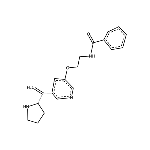 C=C(c1cncc(OCCNC(=O)c2ccccc2)c1)[C@@H]1CCCN1